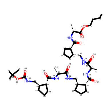 CCCCOC(=O)[C@@H](C)NC(=O)[C@@H]1CCC[C@H]1CNC(=O)[C@@H](C)NC(=O)[C@@H]1CCC[C@H]1CNC(=O)[C@@H](C)NC(=O)[C@@H]1CCC[C@H]1CNC(=O)OC(C)(C)C